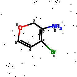 NC1=C(Br)C=COC1